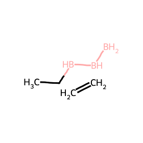 BBBCC.C=C